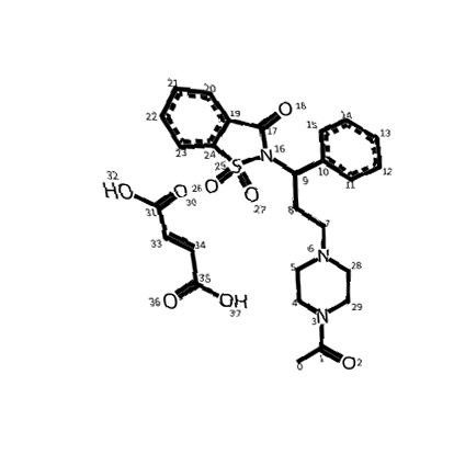 CC(=O)N1CCN(CCC(c2ccccc2)N2C(=O)c3ccccc3S2(=O)=O)CC1.O=C(O)C=CC(=O)O